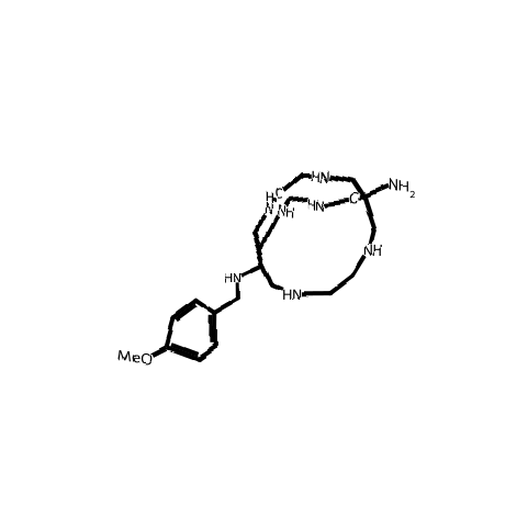 COc1ccc(CNC23CNCCNCC(N)(CNCCNC2)CNCCNC3)cc1